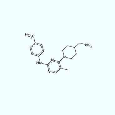 Cc1cnc(Nc2ccc(C(=O)O)cc2)nc1N1CCC(CN)CC1